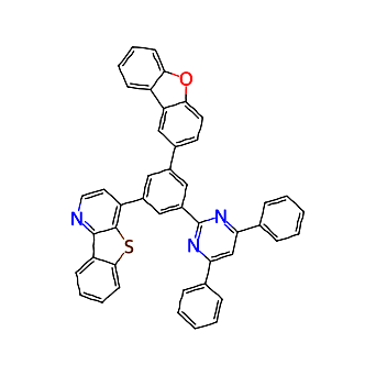 c1ccc(-c2cc(-c3ccccc3)nc(-c3cc(-c4ccc5oc6ccccc6c5c4)cc(-c4ccnc5c4sc4ccccc45)c3)n2)cc1